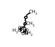 C=C(C)C(=O)OCC(COC(=O)C(=C)CO)c1ccc(CCC2CCC(CC/C=C/C)CC2)c(C)c1